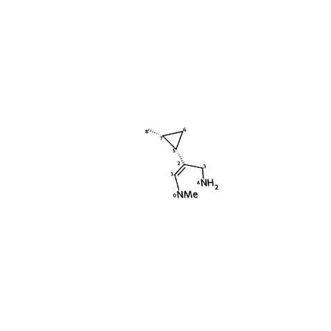 CN/C=C(\CN)[C@H]1C[C@H]1C